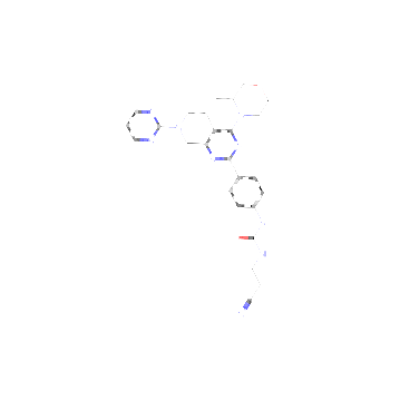 CC1COCCN1c1nc(-c2ccc(NC(=O)NCCC#N)cc2)nc2c1CCN(c1ncccn1)C2